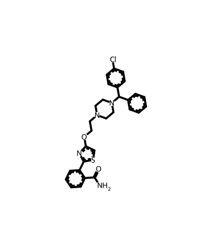 NC(=O)c1ccccc1-c1nc(OCCN2CCN(C(c3ccccc3)c3ccc(Cl)cc3)CC2)cs1